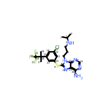 CC(C)NCCCn1c(Sc2cc(Cl)cc(C(C)(C)C(F)(F)F)c2)nc2c(N)ncnc21